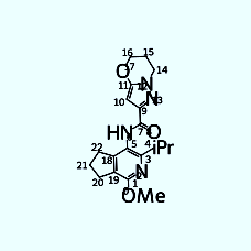 COc1nc(C(C)C)c(NC(=O)c2cc3n(n2)CCCO3)c2c1CCC2